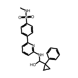 CNS(=O)(=O)c1ccc(-c2cccc(NC(O)C3(c4ccccc4)CC3)n2)cc1